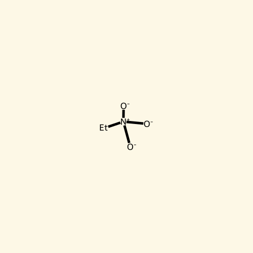 CC[N+]([O-])([O-])[O-]